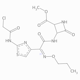 CCCO/N=C(\C(=O)NC1C(=O)NC1C(=O)OC)c1csc(NC(=O)CCl)n1